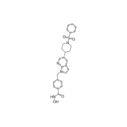 O=C(NO)c1ccc(Cn2ccc3cc(C4CCN(S(=O)(=O)c5ccccc5)CC4)cnc32)cc1